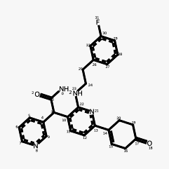 NC(=O)C(c1cccnc1)c1ccc(C2=CCC(=O)CC2)nc1NCCc1cccc(F)c1